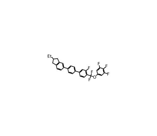 CCC1Cc2ccc(-c3ccc(-c4ccc(C(F)(F)Oc5cc(F)c(F)c(F)c5)c(F)c4)cc3)cc2C1